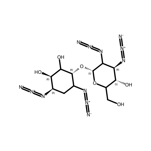 [N-]=[N+]=NC1C[C@@H](N=[N+]=[N-])[C@@H](O)C(O)[C@@H]1O[C@H]1OC(CO)[C@@H](O)[C@H](N=[N+]=[N-])C1N=[N+]=[N-]